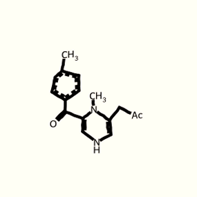 CC(=O)CC1=CNC=C(C(=O)c2ccc(C)cc2)N1C